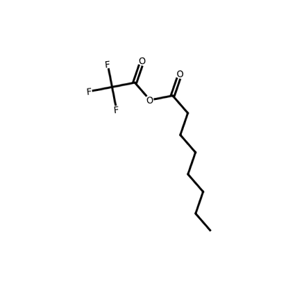 CCCCCCCC(=O)OC(=O)C(F)(F)F